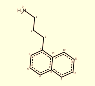 NCCCc1cccc2ccccc12